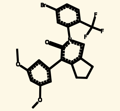 COc1cc(OC)cc(-c2c3c(cn(-c4cc(Br)ccc4C(F)(F)F)c2=O)CCC3)c1